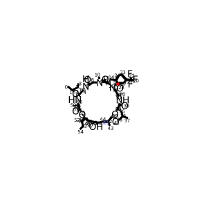 CCC(C)[C@@H]1NC(=O)CN(C)C(=O)[C@@H](Cc2ccc(C(F)(F)F)cc2)N(C)C(=O)[C@H](C)NC(=O)[C@@H](CC(C)C)OC(=O)/C(C)=C/C[C@H](O)[C@H](C)[C@@H]([C@@H](C)CC)OC(=O)[C@@H](C)NC1=O